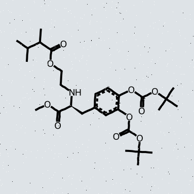 COC(=O)[C@H](Cc1ccc(OC(=O)OC(C)(C)C)c(OC(=O)OC(C)(C)C)c1)NCCOC(=O)C(C)C(C)C